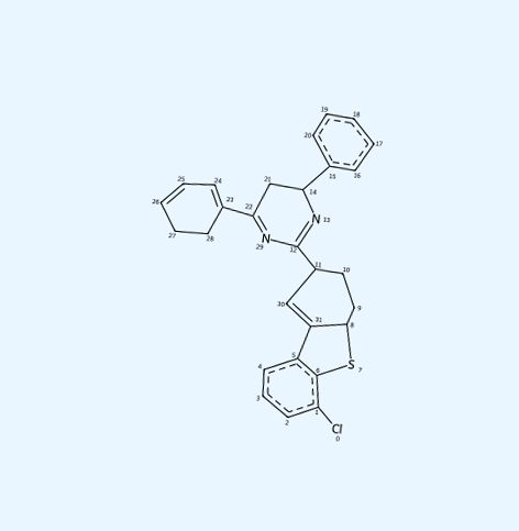 Clc1cccc2c1SC1CCC(C3=NC(c4ccccc4)CC(C4=CC=CCC4)=N3)C=C21